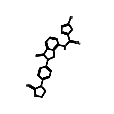 C=C(Nc1cccc2c1CN(c1ccc(N3CCOC3=N)cc1)C2=O)c1ccc(Cl)s1